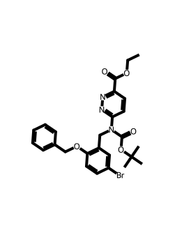 CCOC(=O)c1ccc(N(Cc2cc(Br)ccc2OCc2ccccc2)C(=O)OC(C)(C)C)nn1